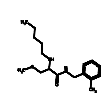 [CH2]SCC(NCCCCC)C(=O)NCc1ccccc1C